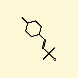 CC1CCC(/N=N/C(C)(C)Cl)CC1